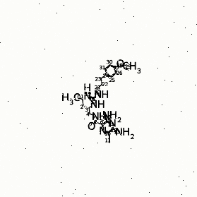 CCC[C@@H](CNC(=O)c1nc(I)c(N)nc1N)NC(=N)NCCCc1ccc(OC)cc1